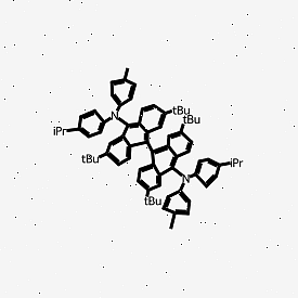 Cc1ccc(N(c2ccc(C(C)C)cc2)c2c3ccc(C(C)(C)C)cc3c(-c3c4cc(C(C)(C)C)ccc4c(N(c4ccc(C)cc4)c4ccc(C(C)C)cc4)c4cc(C(C)(C)C)ccc34)c3ccc(C(C)(C)C)cc23)cc1